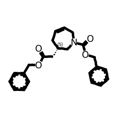 O=C(C[C@@H]1CC=CCN(C(=O)OCc2ccccc2)C1)OCc1ccccc1